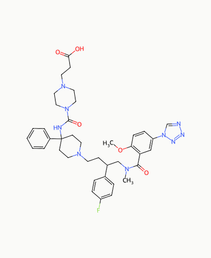 COc1ccc(-n2cnnn2)cc1C(=O)N(C)CC(CCN1CCC(NC(=O)N2CCN(CCC(=O)O)CC2)(c2ccccc2)CC1)c1ccc(F)cc1